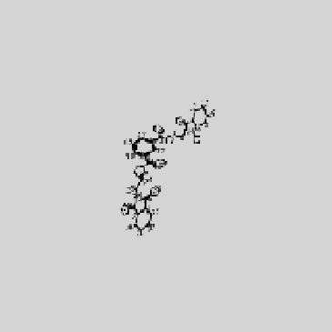 O=C(OCCN1C(=O)C2CCCCC2C1=O)c1cccc(C(=O)OCCN2C(=O)C3CCCCC3C2=O)c1